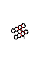 [Ti].c1ccc(P(c2ccccc2)c2ccc3ccccc3c2-c2c(P(c3ccccc3)c3ccccc3)ccc3ccccc23)cc1